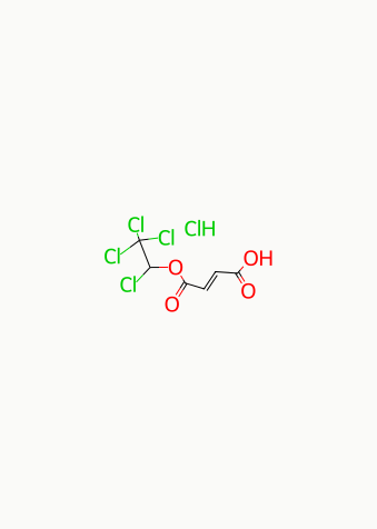 Cl.O=C(O)C=CC(=O)OC(Cl)C(Cl)(Cl)Cl